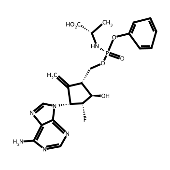 C=C1[C@@H](n2cnc3c(N)ncnc32)[C@@H](F)[C@H](O)[C@H]1CO[P@@](=O)(N[C@@H](C)C(=O)O)Oc1ccccc1